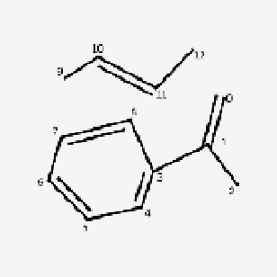 C=C(C)c1ccccc1.CC=CC